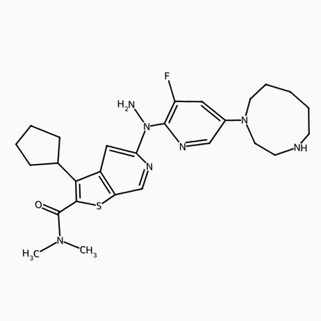 CN(C)C(=O)c1sc2cnc(N(N)c3ncc(N4CCCCCNCC4)cc3F)cc2c1C1CCCC1